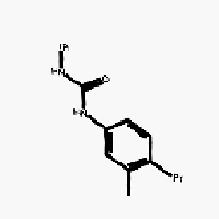 Cc1cc(NC(=O)NC(C)C)ccc1C(C)C